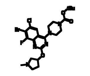 CN1CCC(Oc2nc(N3CCN(C(=O)OC(C)(C)C)CC3)c3cc(Cl)c(Br)c(F)c3n2)C1